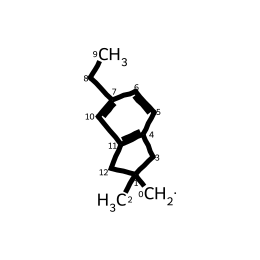 [CH2]C1(C)Cc2ccc(CC)cc2C1